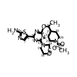 CC(Oc1nc(-c2cnc(N)s2)nc(N2CCOCC2)n1)C1CCN(S(C)(=O)=O)CC1